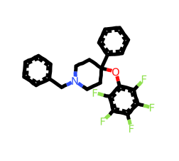 Fc1c(F)c(F)c(OC2(c3ccccc3)CCN(Cc3ccccc3)CC2)c(F)c1F